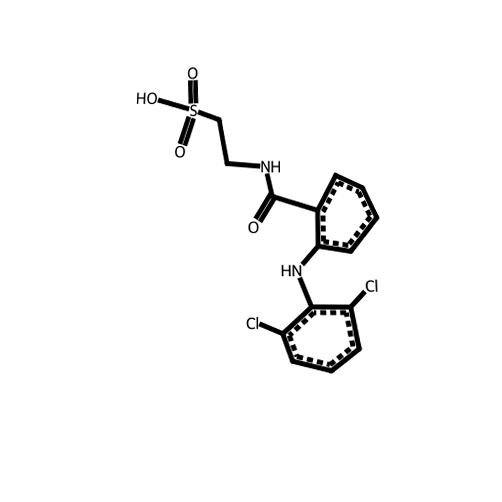 O=C(NCCS(=O)(=O)O)c1ccccc1Nc1c(Cl)cccc1Cl